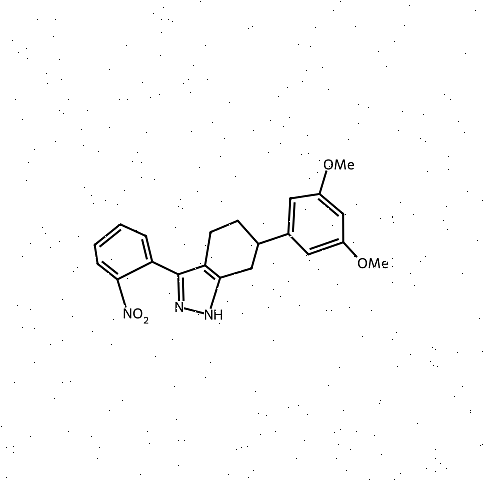 COc1cc(OC)cc(C2CCc3c(-c4ccccc4[N+](=O)[O-])n[nH]c3C2)c1